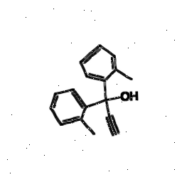 C#CC(O)(c1ccccc1C)c1ccccc1C